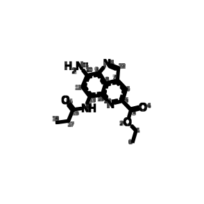 CCOC(=O)c1cc2c3c(c(N)cc(NC(=O)CC)c3n1)N=C2